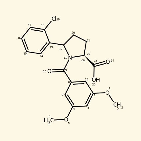 COc1cc(OC)cc(C(=O)N2C(c3ccccc3Cl)CC[C@H]2C(=O)O)c1